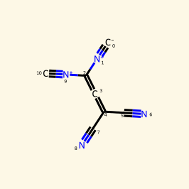 [C-]#[N+]C(=C=C(C#N)C#N)[N+]#[C-]